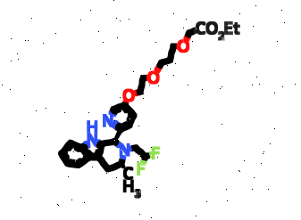 CCOC(=O)COCCCOCCOc1ccc([C@@H]2c3[nH]c4ccccc4c3C[C@@H](C)N2CC(F)F)nc1